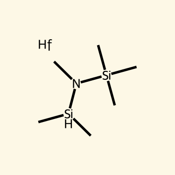 CN([SiH](C)C)[Si](C)(C)C.[Hf]